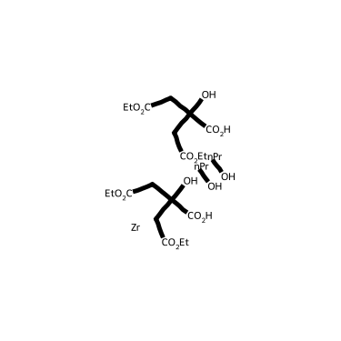 CCCO.CCCO.CCOC(=O)CC(O)(CC(=O)OCC)C(=O)O.CCOC(=O)CC(O)(CC(=O)OCC)C(=O)O.[Zr]